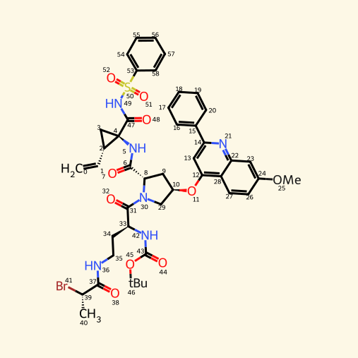 C=C[C@@H]1C[C@]1(NC(=O)[C@@H]1C[C@@H](Oc2cc(-c3ccccc3)nc3cc(OC)ccc23)CN1C(=O)[C@H](CCNC(=O)[C@H](C)Br)NC(=O)OC(C)(C)C)C(=O)NS(=O)(=O)c1ccccc1